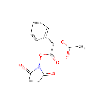 CC(=O)O[C@H](C(=O)ON1C(=O)CCC1=O)c1ccccc1